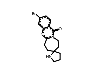 O=c1c2ccc(Br)cc2nc2n1CCC1(CCCN1)CC2